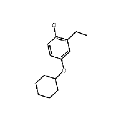 CCc1cc(OC2C[CH]CCC2)ccc1Cl